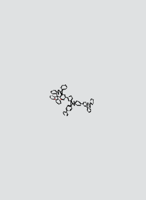 c1ccc(-c2ccc(N(c3ccc(-c4ccc5c(c4)c4ccccc4n5-c4ccccc4)cc3)c3cccc(-c4ccc5c(c4)N(c4ccccc4)c4ccccc4C5(c4ccccc4)c4ccccc4)c3)cc2)cc1